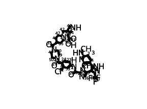 CNc1ccc(-c2[nH]nc(C(F)(F)F)c2-c2cnc(C(=O)Nc3ccc(C(=O)N4CCN(C(=O)C5CC[N+](CC(=O)O)(CC6CNC6)CC5)CC4)c(Cl)c3)n2C)cn1